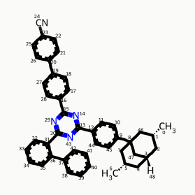 C[C@@H]1C[C@@H]2C[C@H](C)CC(c3ccc(-c4nc(-c5ccc(-c6ccc(C#N)cc6)cc5)nc(-c5ccccc5-c5ccccc5)n4)cc3)(C1)C2